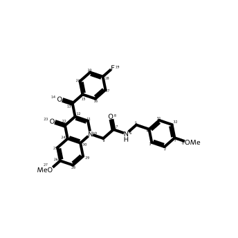 COc1ccc(CNC(=O)Cn2cc(C(=O)c3ccc(F)cc3)c(=O)c3cc(OC)ccc32)cc1